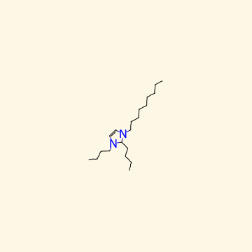 CCCCCCCCCN1C=CN(CCCC)C1CCCC